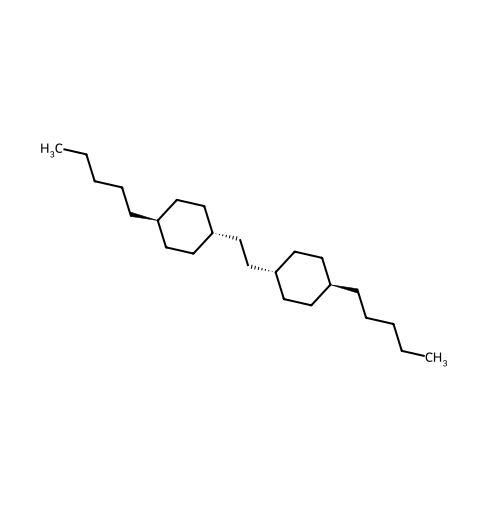 CCCCC[C@H]1CC[C@H](CC[C@H]2CC[C@H](CCCCC)CC2)CC1